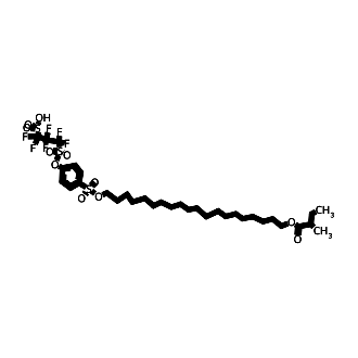 CCC(C)C(=O)OCCCCCCCCCCCCCCCCCCCCOS(=O)(=O)c1ccc(OS(=O)(=O)C(F)(F)C(F)(F)C(F)(F)S(=O)(=O)O)cc1